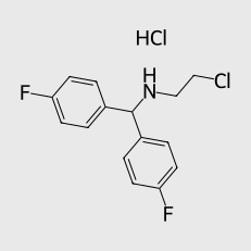 Cl.Fc1ccc(C(NCCCl)c2ccc(F)cc2)cc1